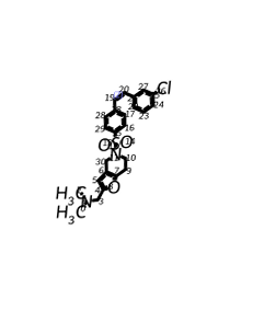 CN(C)Cc1cc2c(o1)CCN(S(=O)(=O)c1ccc(/C=C\c3cccc(Cl)c3)cc1)C2